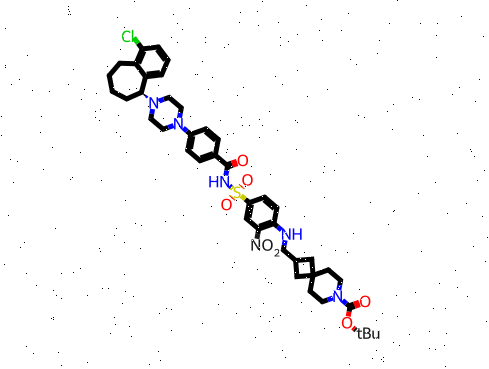 CC(C)(C)OC(=O)N1CCC2(CC1)CC(CNc1ccc(S(=O)(=O)NC(=O)c3ccc(N4CCN([C@@H]5CCCCc6c(Cl)cccc65)CC4)cc3)cc1[N+](=O)[O-])C2